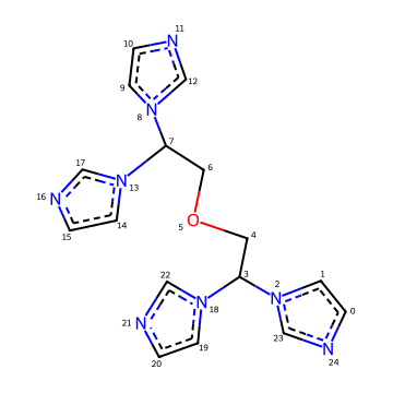 c1cn(C(COCC(n2ccnc2)n2ccnc2)n2ccnc2)cn1